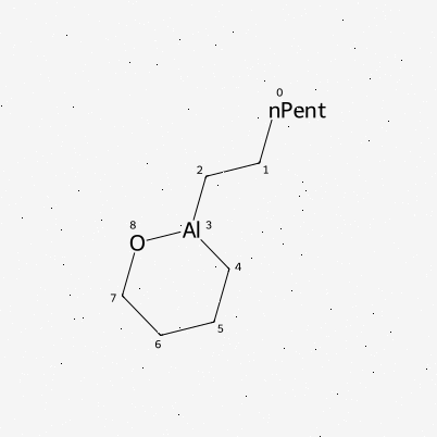 CCCCCC[CH2][Al]1[CH2]CCC[O]1